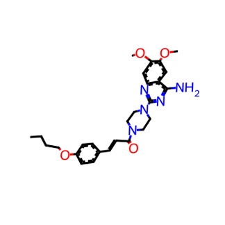 CCCCOc1ccc(C=CC(=O)N2CCN(c3nc(N)c4cc(OC)c(OC)cc4n3)CC2)cc1